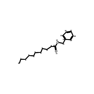 CCCCCCCCCCC(=O)OCc1ccccc1